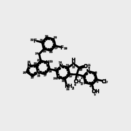 CC1(c2cc(O)c(Cl)cn2)C(=O)Nc2nc(-c3cn4ccnc4c(Cc4cc(F)ccc4F)n3)nc(N)c21